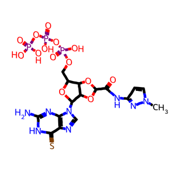 Cn1ccc(NC(=O)C2OC3C(COP(=O)(O)OP(=O)(O)OP(=O)(O)O)OC(n4cnc5c(=S)[nH]c(N)nc54)C3O2)n1